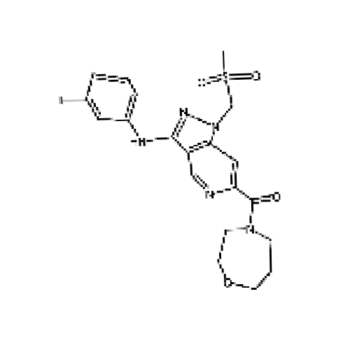 CS(=O)(=O)Cn1nc(Nc2cccc(I)c2)c2cnc(C(=O)N3CCCOCC3)cc21